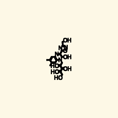 Cc1cc2c(cc1C)N(C[C@H](O)[C@H](O)[C@H](O)CO)C(O)C(c1nc(CO)no1)=N2